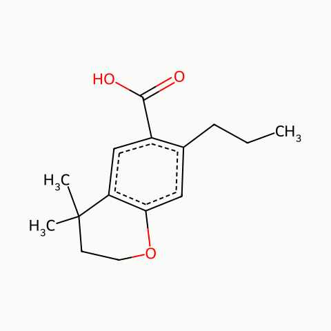 CCCc1cc2c(cc1C(=O)O)C(C)(C)CCO2